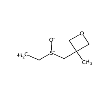 [CH2]C[S+]([O-])CC1(C)COC1